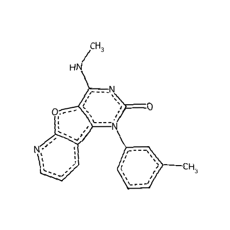 CNc1nc(=O)n(-c2cccc(C)c2)c2c1oc1ncccc12